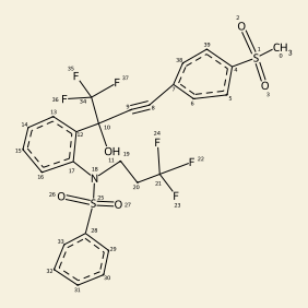 CS(=O)(=O)c1ccc(C#CC(O)(c2ccccc2N(CCC(F)(F)F)S(=O)(=O)c2ccccc2)C(F)(F)F)cc1